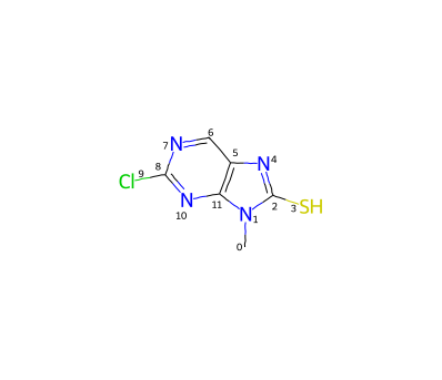 Cn1c(S)nc2cnc(Cl)nc21